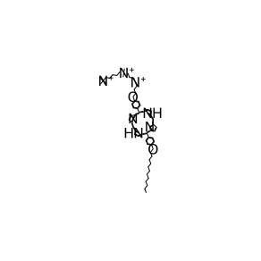 CCCCCCCCCCCCOc1ccc(-c2c3nc(cc4ccc([nH]4)c(-c4ccc(OCCC[N+](C)(C)CCC[N+](C)(C)CCCCC[N+](C)(C)C)cc4)c4nc(cc5ccc2[nH]5)C=C4)C=C3)cc1